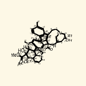 CC[C@]1(O)C[C@@H]2CN(CCc3c([nH]c4ccc(C)cc34)[C@@](C(=O)OC)(c3cc4c(cc3OC)N(C)[C@H]3[C@@](O)(C(=O)OC)[C@H](OC(C)=O)[C@]5(CC)C=CCN6CC[C@]43[C@@H]65)C2)C1